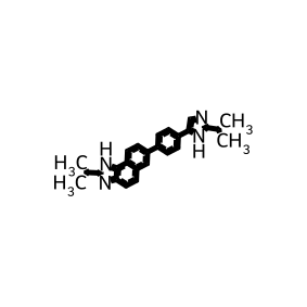 CC(C)c1ncc(-c2ccc(-c3ccc4c(ccc5nc(C(C)C)[nH]c54)c3)cc2)[nH]1